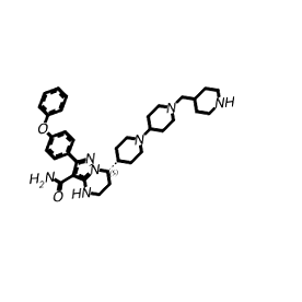 NC(=O)c1c(-c2ccc(Oc3ccccc3)cc2)nn2c1NCC[C@H]2C1CCN(C2CCN(CC3CCNCC3)CC2)CC1